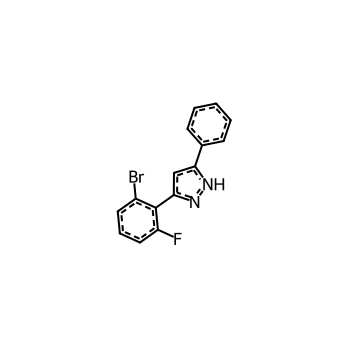 Fc1cccc(Br)c1-c1cc(-c2ccccc2)[nH]n1